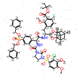 COc1ccc(S(=O)(=O)N2CCN(C(=O)NC(C(=O)N[C@@H](Cc3ccc(F)c(C(=O)OC(C)(C)C)c3OC)B3O[C@@H]4C[C@@H]5C[C@@H](C5(C)C)[C@]4(C)O3)c3ccc(P(=O)(OCc4ccccc4)OCc4ccccc4)cc3)C2=O)c(Cl)c1OC